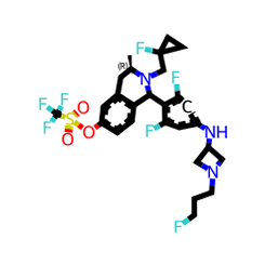 C[C@@H]1Cc2cc(OS(=O)(=O)C(F)(F)F)ccc2C(c2c(F)cc(NC3CN(CCCF)C3)cc2F)N1CC1(F)CC1